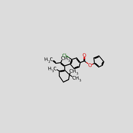 C=C/C(C)=C(\C1=C(C)CCCC1(C)C)c1ccc(C(=O)Oc2ccccc2)cc1Cl